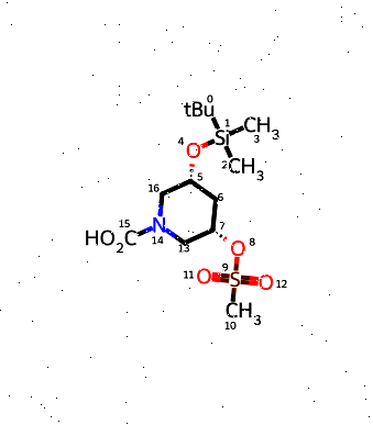 CC(C)(C)[Si](C)(C)O[C@@H]1C[C@H](OS(C)(=O)=O)CN(C(=O)O)C1